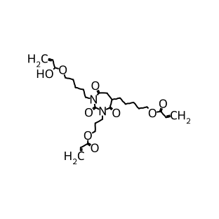 C=CC(=O)OCCCCCC1CC(=O)N(CCCCCOC(O)C=C)C(=O)N(CCCOC(=O)C=C)C1=O